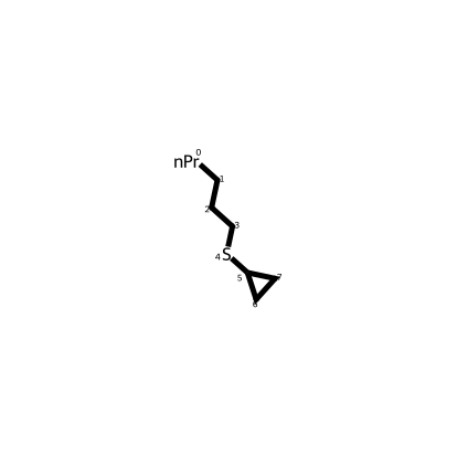 CCCCCCSC1CC1